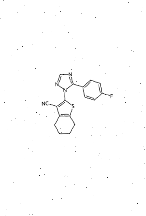 N#Cc1c(-n2ncnc2-c2ccc(F)cc2)sc2c1CCCC2